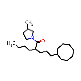 CCCCC(CCCC1CCCCCCC1)C(=O)N1CCC(C)C1